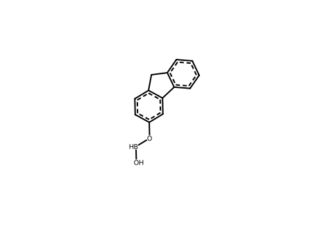 OBOc1ccc2c(c1)-c1ccccc1C2